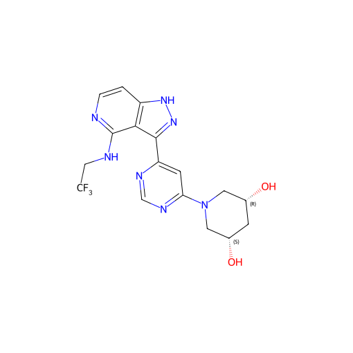 O[C@@H]1C[C@H](O)CN(c2cc(-c3n[nH]c4ccnc(NCC(F)(F)F)c34)ncn2)C1